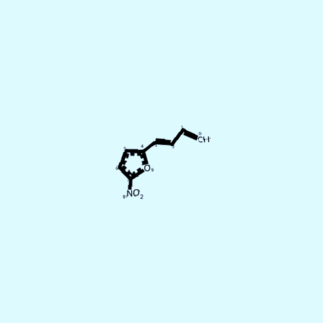 [CH]=CC=Cc1ccc([N+](=O)[O-])o1